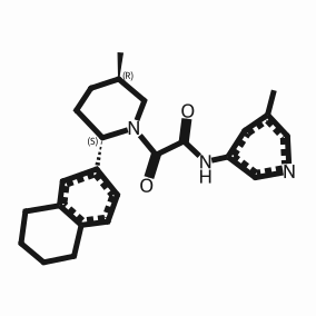 Cc1cncc(NC(=O)C(=O)N2C[C@H](C)CC[C@H]2c2ccc3c(c2)CCCC3)c1